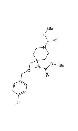 CC(C)(C)OC(=O)NC1(COCc2ccc(Cl)cc2)CCN(C(=O)OC(C)(C)C)CC1